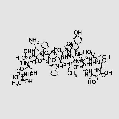 CCCC[C@H](NC(=O)[C@@H](CO)NC(=O)[C@H](CO)NC(=O)[C@@H](CO)NC(=O)[C@H](CO)NC(=O)[C@H](N)CO)C(=O)N[C@H](Cc1ccc(O)cc1)C(=O)N[C@H](CO)C(=O)N[C@@H](CS)C(=O)N[C@@H](Cc1ccccc1)C(=O)N[C@H](Cc1c[nH]c2ccccc12)C(=O)N[C@@H](CCCCN)C(=O)N[C@H](C(=O)N[C@@H](CS)C(=O)N[C@H](C(=O)O)[C@@H](C)O)[C@@H](C)O